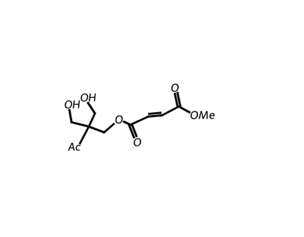 COC(=O)/C=C/C(=O)OCC(CO)(CO)C(C)=O